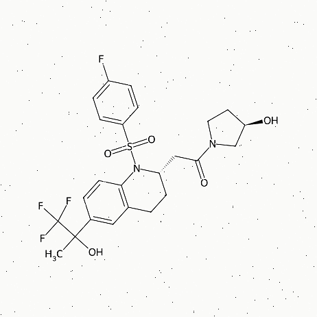 CC(O)(c1ccc2c(c1)CC[C@@H](CC(=O)N1CC[C@@H](O)C1)N2S(=O)(=O)c1ccc(F)cc1)C(F)(F)F